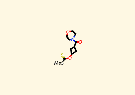 CSC(=S)OC1CC(C(=O)N2CCOCC2)C1